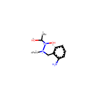 CCCCCN(Cc1ccccc1N)N(O)C(O)CCCC